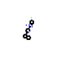 Clc1ccc2nc(-c3ccc(-c4cccc5ccccc45)nc3)[nH]c2c1